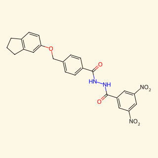 O=C(NNC(=O)c1cc([N+](=O)[O-])cc([N+](=O)[O-])c1)c1ccc(COc2ccc3c(c2)CCC3)cc1